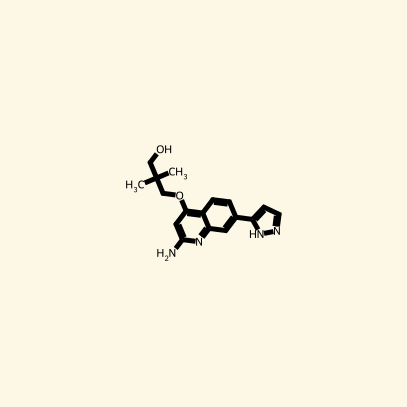 CC(C)(CO)COc1cc(N)nc2cc(-c3ccn[nH]3)ccc12